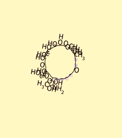 CC1/C=C/C=C/C(=O)C\C=C/C=C/C=C/C=C/C(C2OC(C)C(O)C(N)C2O)CC(O)C(C(=O)O)C(O)CC(=O)CC(O)C(O)CCC(O)CC(O)CC(O)CC(=O)OC(C)C(C)C1O